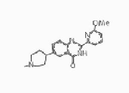 COc1cccc(-c2nc3ccc(C4CCN(C)CC4)cc3c(=O)[nH]2)n1